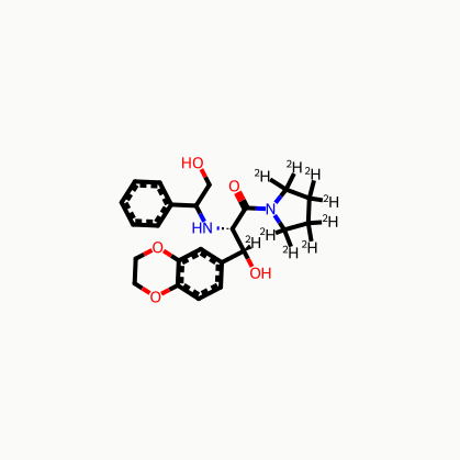 [2H]C1([2H])N(C(=O)[C@@H](NC(CO)c2ccccc2)[C@]([2H])(O)c2ccc3c(c2)OCCO3)C([2H])([2H])C([2H])([2H])C1([2H])[2H]